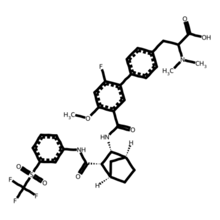 COc1cc(F)c(-c2ccc(CC(C(=O)O)N(C)C)cc2)cc1C(=O)N[C@@H]1[C@H]2CC[C@H](C2)[C@@H]1C(=O)Nc1cccc(S(=O)(=O)C(F)(F)F)c1